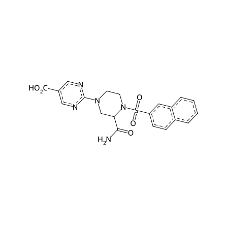 NC(=O)C1CN(c2ncc(C(=O)O)cn2)CCN1S(=O)(=O)c1ccc2ccccc2c1